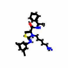 CCC(NC(=O)c1cs/c(=N\c2cc(C)cc(C)c2)n1CCCCCN)c1ccccc1